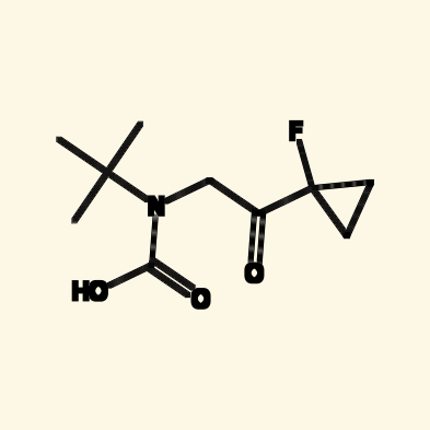 CC(C)(C)N(CC(=O)C1(F)CC1)C(=O)O